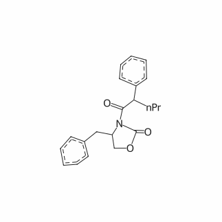 CCCC(C(=O)N1C(=O)OCC1Cc1ccccc1)c1ccccc1